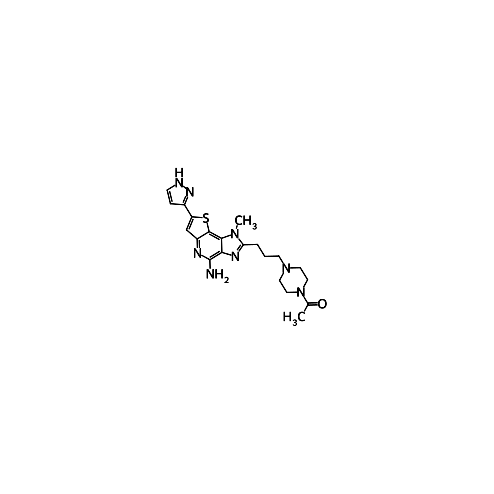 CC(=O)N1CCN(CCCc2nc3c(N)nc4cc(-c5cc[nH]n5)sc4c3n2C)CC1